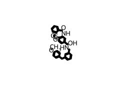 COc1ccc(Cc2cccc(CNC(O)c3ccc4c(c3)NC(=O)c3ccccc3S4(=O)=O)c2)cc1